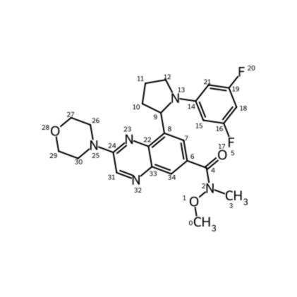 CON(C)C(=O)c1cc(C2CCCN2c2cc(F)cc(F)c2)c2nc(N3CCOCC3)cnc2c1